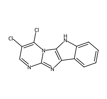 Clc1cnc2nc3c4ccccc4[nH]c3n2c1Cl